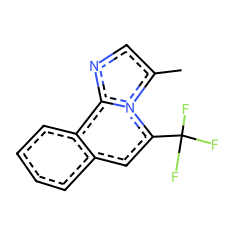 Cc1cnc2c3ccccc3cc(C(F)(F)F)n12